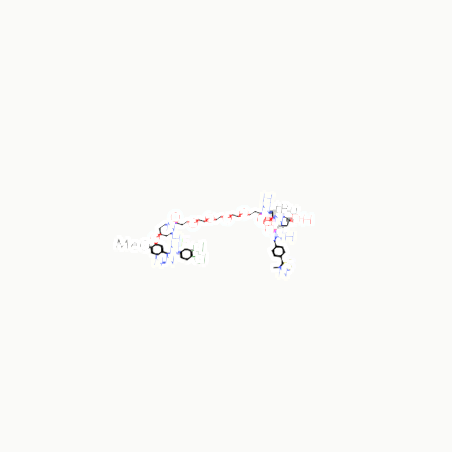 COc1cc2ncnc(Nc3ccc(Cl)c(Cl)c3F)c2cc1OC1CCN(C(=O)CCOCCOCCOCCOCCC(=O)N[C@H](C(=O)N2C[C@H](O)C[C@H]2C(=O)NCc2ccc(-c3scnc3C)cc2)C(C)(C)C)CC1